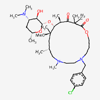 CO[C@]1(C)C[C@@H](C)CN(C)CCN(Cc2ccc(Cl)cc2)CCCOC(=O)C(C)(C)C(=O)[C@H](C)[C@H]1O[C@@H]1O[C@H](C)C[C@H](N(C)C)[C@H]1O